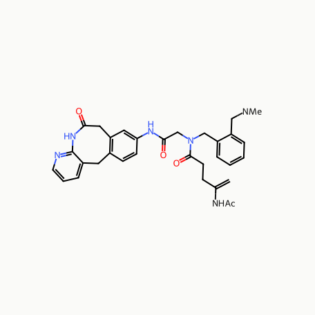 C=C(CCC(=O)N(CC(=O)Nc1ccc2c(c1)CC(=O)Nc1ncccc1C2)Cc1ccccc1CNC)NC(C)=O